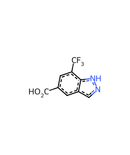 O=C(O)c1cc(C(F)(F)F)c2[nH]ncc2c1